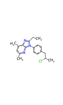 CCc1nc2c(C)cc(C)nc2n1-c1ccc(CC(C)Cl)cc1